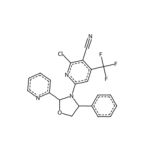 N#Cc1c(C(F)(F)F)cc(N2C(c3ccccc3)COC2c2ccccn2)nc1Cl